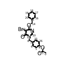 CC(=O)Oc1ccc(Cn2cnc(OCc3ccccc3)c(Br)c2=O)cc1